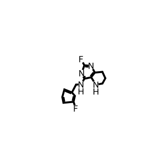 Fc1cccc(CNc2nc(F)nc3c2NCCC3)c1